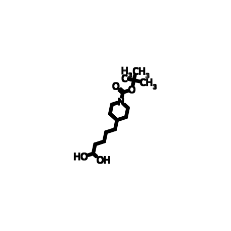 CC(C)(C)OC(=O)N1CCC(CCCCC(O)O)CC1